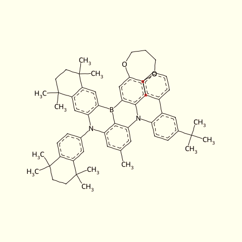 Cc1cc2c3c(c1)N(c1ccc(C(C)(C)C)cc1-c1ccccc1)c1cc4c(cc1B3c1cc3c(cc1N2c1ccc2c(c1)C(C)(C)CCC2(C)C)C(C)(C)CCC3(C)C)OCCCO4